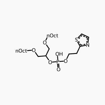 CCCCCCCCOCC(COCCCCCCCC)OP(=O)(O)OCCc1nccs1